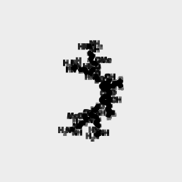 C=C(COc1cc2oc3cc(OCC(=O)N[C@@H](CCCNC(=N)N)C(=O)N[C@@H](CCCNC(=N)N)C(=O)OC)c(CO)c(CC=C(C)C)c3c(=O)c2c(O)c1CC=C(C)C)N[C@@H](CCCNC(=N)N)C(=O)N[C@@H](CCCNC(=N)N)C(=O)OC